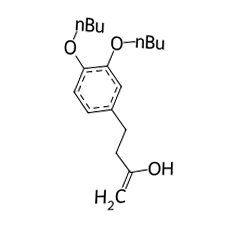 C=C(O)CCc1ccc(OCCCC)c(OCCCC)c1